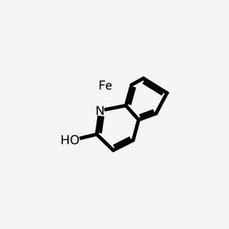 Oc1ccc2ccccc2n1.[Fe]